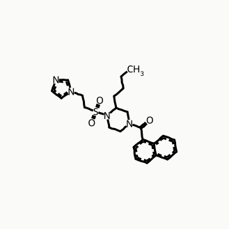 CCCCC1CN(C(=O)c2cccc3ccccc23)CCN1S(=O)(=O)CCn1ccnc1